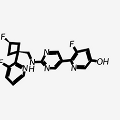 Oc1cnc(-c2cnc(NC[C@]3(c4ncccc4F)C[C@H](F)C3)nc2)c(F)c1